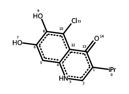 CC(C)c1c[nH]c2cc(O)c(O)c(Cl)c2c1=O